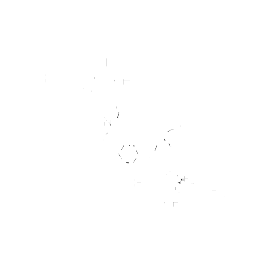 CCO[Si](CCCN1C(=O)CC(C2CC3C(=O)N(CCC[Si](OCC)(OCC)OCC)C(=O)C3c3ccccc32)C1=O)(OCC)OCC